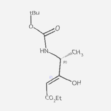 CCOC(=O)/C=C(\O)[C@@H](C)NC(=O)OC(C)(C)C